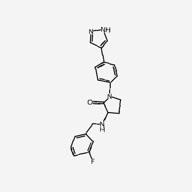 O=C1C(NCc2cccc(F)c2)CCN1c1ccc(-c2cn[nH]c2)cc1